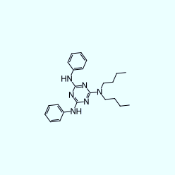 CCCCN(CCCC)c1nc(Nc2ccccc2)nc(Nc2ccccc2)n1